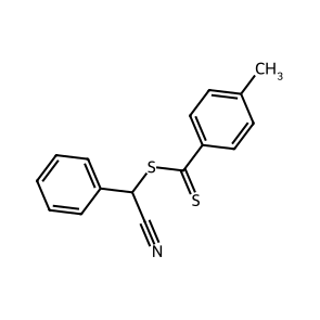 Cc1ccc(C(=S)SC(C#N)c2ccccc2)cc1